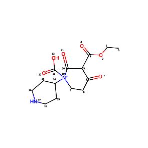 CCOC(=O)C1C(=O)CC[N+](C(=O)O)(C2CCNCC2)C1=O